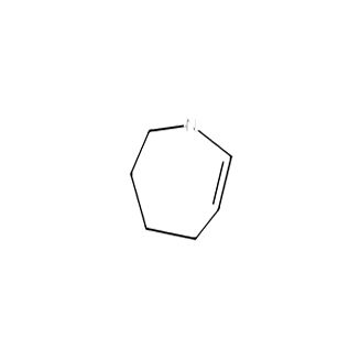 C1=C[N]CCCC1